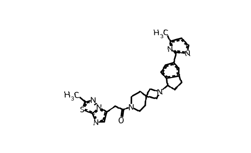 Cc1ccnc(-c2ccc3c(c2)CCC3N2CC3(CCN(C(=O)Cc4cnc5sc(C)nn45)CC3)C2)n1